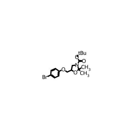 CC(C)(C)OC(=O)N1CC(COc2ccc(Br)cc2)OC1(C)C